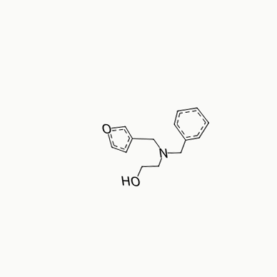 OCCN(Cc1ccccc1)Cc1ccoc1